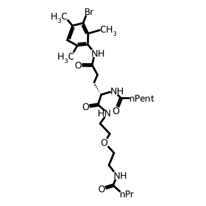 CCCCCC(=O)N[C@@H](CCC(=O)Nc1c(C)cc(C)c(Br)c1C)C(=O)NCCOCCNC(=O)CCC